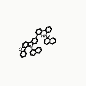 CC1(Nc2ccccc2-c2cccc(-c3ccc4c(c3)c3ccc5oc6ccccc6c5c3n4-c3cccc4ccccc34)c2)C=CC=C2C=CC=CC21